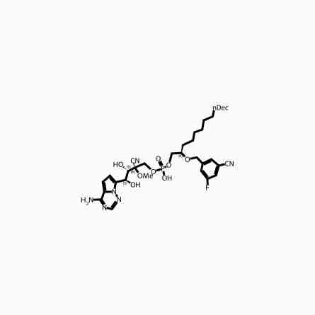 CCCCCCCCCCCCCCCC[C@H](COP(=O)(O)OC[C@@](C#N)(OC)[C@@H](O)[C@@H](O)c1ccc2c(N)ncnn12)OCc1cc(F)cc(C#N)c1